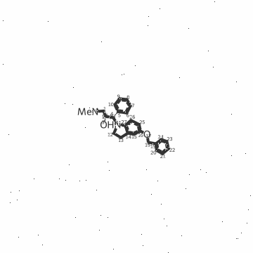 CNC[C@@H](O)[C@H](c1ccccc1)N1CCc2cc(OCc3ccccc3)ccc21